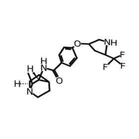 C[C@H]1[C@H](NC(=O)c2ccc(OC3CNC(C(F)(F)F)C3)cc2)C2CCN1CC2